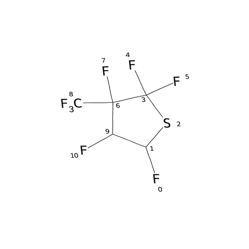 FC1SC(F)(F)C(F)(C(F)(F)F)C1F